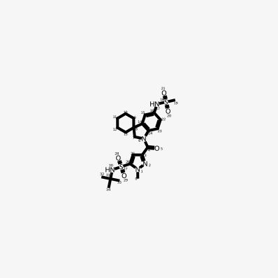 Cn1nc(C(=O)N2CC3(CCCCC3)c3cc(NS(C)(=O)=O)ccc32)cc1S(=O)(=O)NC(C)(C)C